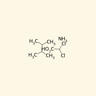 CC(C)C(C)C.N.O=C(O)C(Cl)Cl